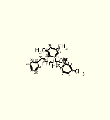 CCCC(C)(Pc1ccc(C)cc1C(C)=O)c1cc(C)cc(C)c1OCc1ccccc1